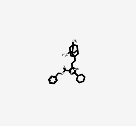 CC12CC3CC(C)(C1)CC(CCc1[nH]c(C4CCCCC4)nc1C(=O)OCc1ccccc1)(C3)C2